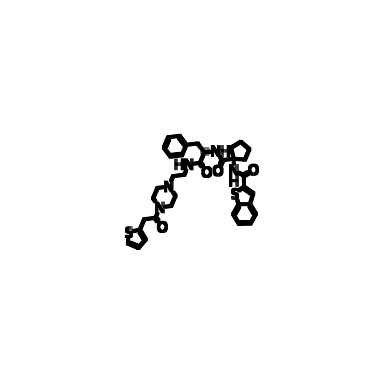 O=C(NC1(C(=O)N[C@H](Cc2ccccc2)C(=O)NCCN2CCN(C(=O)Cc3cccs3)CC2)CCCC1)c1cc2ccccc2s1